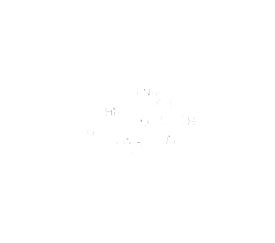 CCCCCCCCCC(NC(CC)C(=O)O)O[Si](C)(C)C(C)(C)C